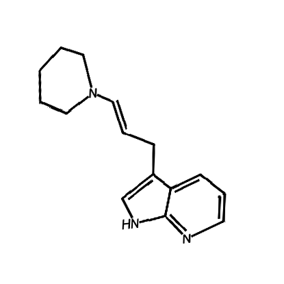 C(=CN1CCCCC1)Cc1c[nH]c2ncccc12